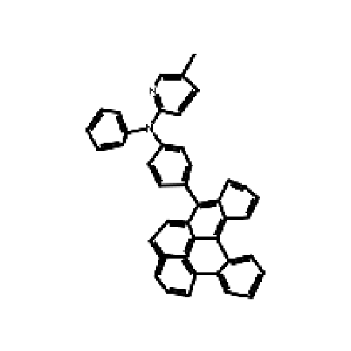 Cc1ccc(N(c2ccccc2)c2ccc(-c3c4ccccc4c(-c4ccccc4-c4ccccc4)c4ccccc34)cc2)nc1